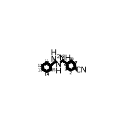 N#Cc1ccc(C(=N)NC(N)c2ccccc2)cc1